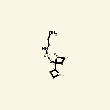 NCC[NH][Zn][S]C1(C2CCS2)CCS1